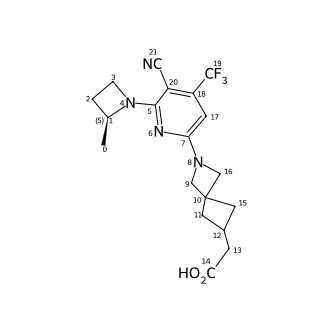 C[C@H]1CCN1c1nc(N2CC3(CC(CC(=O)O)C3)C2)cc(C(F)(F)F)c1C#N